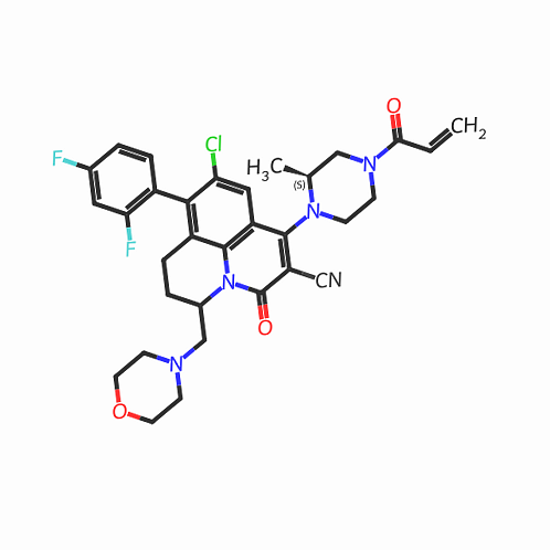 C=CC(=O)N1CCN(c2c(C#N)c(=O)n3c4c(c(-c5ccc(F)cc5F)c(Cl)cc24)CCC3CN2CCOCC2)[C@@H](C)C1